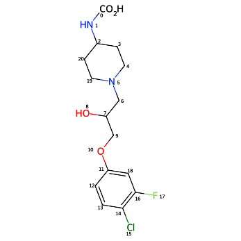 O=C(O)NC1CCN(CC(O)COc2ccc(Cl)c(F)c2)CC1